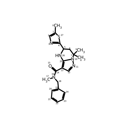 Cc1cnc(C2CC(C)(C)n3ncc(C(=O)N(C)Cc4ccccc4)c3N2)s1